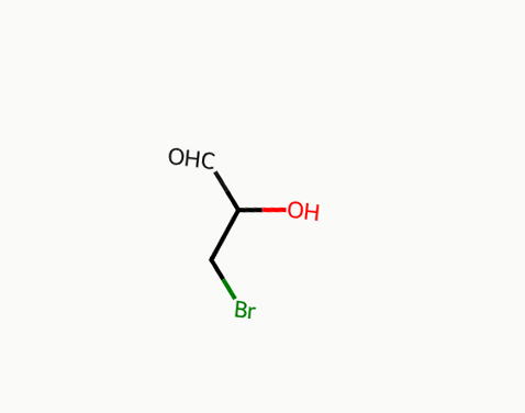 O=CC(O)CBr